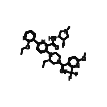 CCOc1ncccc1-c1ccc(N2CCN(C(=O)c3ccc(OC)nc3C(F)(F)F)C[C@H]2CC)c(C(=O)N[C@@H]2CN(C)C[C@H]2F)n1